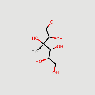 C[C@@](O)([C@H](O)CO)[C@H](O)[C@H](O)CO